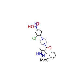 COc1ccccc1-c1n[nH]c(C)c1C(=O)N1CCN(c2ccc([NH+]([O-])O)cc2Cl)CC1